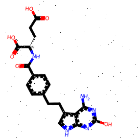 Nc1nc(O)nc2[nH]cc(CCc3ccc(C(=O)N[C@@H](CCC(=O)O)C(=O)O)cc3)c12